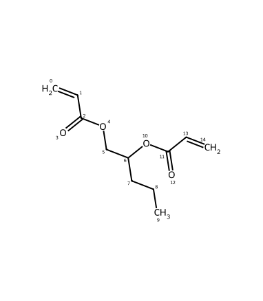 C=CC(=O)OCC(CCC)OC(=O)C=C